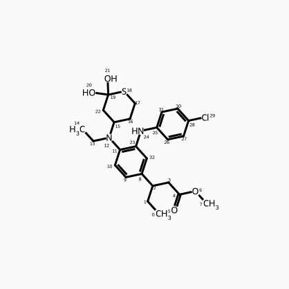 CCC(CC(=O)OC)c1ccc(N(CC)C2CCSC(O)(O)C2)c(Nc2ccc(Cl)cc2)c1